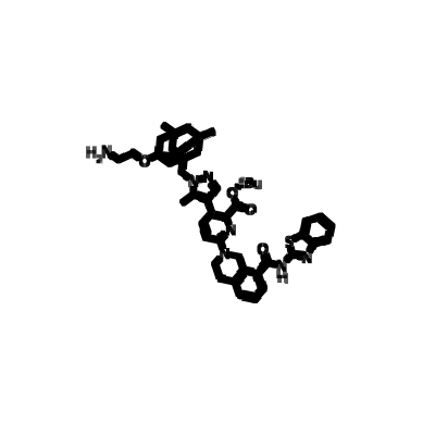 Cc1c(-c2ccc(N3CCc4cccc(C(=O)Nc5nc6ccccc6s5)c4C3)nc2C(=O)OC(C)(C)C)cnn1CC12CC3(C)CC(C)(C1)CC(OCCN)(C3)C2